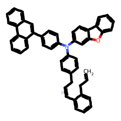 C=CCc1ccccc1/C=C\Cc1ccc(N(c2ccc(-c3cc4ccccc4c4ccccc34)cc2)c2ccc3c(c2)oc2ccccc23)cc1